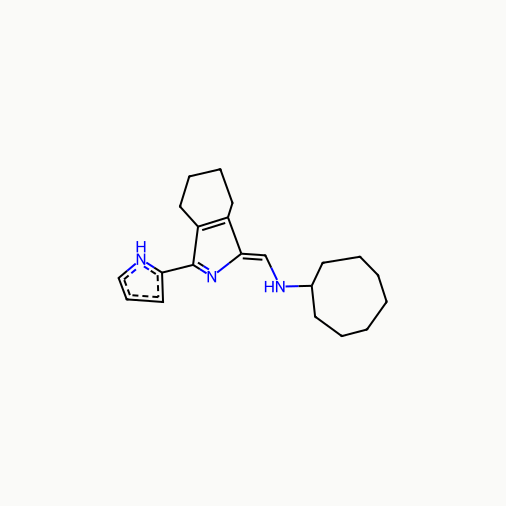 C(NC1CCCCCCC1)=C1N=C(c2ccc[nH]2)C2=C1CCCC2